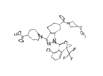 COC1CN(C(=O)C2CCc3c(N4CCC(C(=O)O)CC4)nn(C(=O)c4c(Cl)cccc4C4(C(F)(F)F)CC4)c3C2)C1